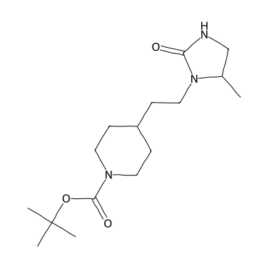 CC1CNC(=O)N1CCC1CCN(C(=O)OC(C)(C)C)CC1